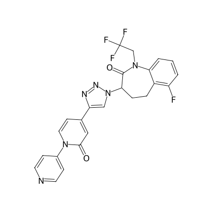 O=C1C(n2cc(-c3ccn(-c4ccncc4)c(=O)c3)nn2)CCc2c(F)cccc2N1CC(F)(F)F